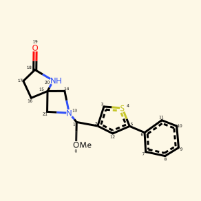 COC(c1csc(-c2ccccc2)c1)N1CC2(CCC(=O)N2)C1